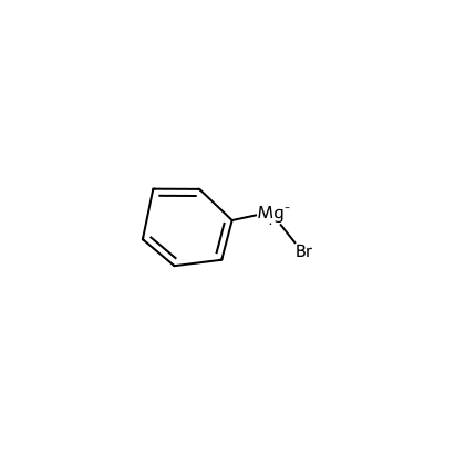 [Br][Mg-][c]1ccccc1